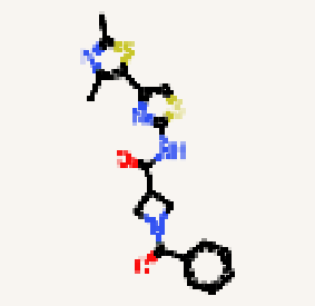 Cc1nc(C)c(-c2csc(NC(=O)C3CN(C(=O)c4ccccc4)C3)n2)s1